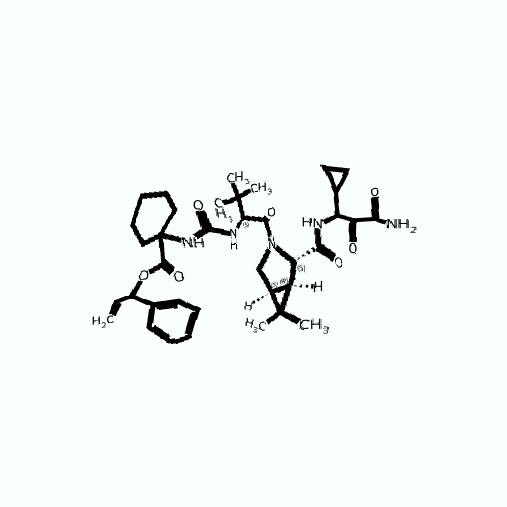 C=CC(OC(=O)C1(NC(=O)N[C@H](C(=O)N2C[C@H]3[C@@H]([C@H]2C(=O)NC(C(=O)C(N)=O)C2CC2)C3(C)C)C(C)(C)C)CCCCC1)c1ccccc1